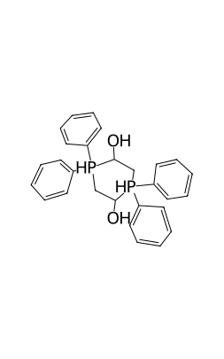 OC1C[PH](c2ccccc2)(c2ccccc2)C(O)C[PH]1(c1ccccc1)c1ccccc1